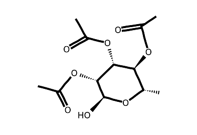 CC(=O)O[C@@H]1[C@@H](OC(C)=O)[C@H](C)O[C@@H](O)[C@@H]1OC(C)=O